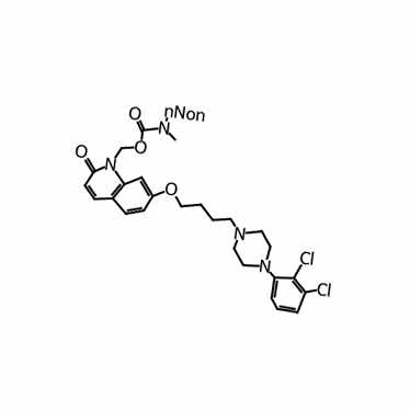 CCCCCCCCCN(C)C(=O)OCn1c(=O)ccc2ccc(OCCCCN3CCN(c4cccc(Cl)c4Cl)CC3)cc21